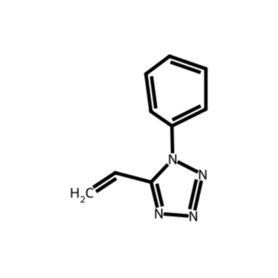 C=Cc1nnnn1-c1ccccc1